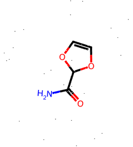 NC(=O)C1OC=CO1